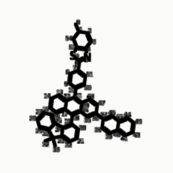 CC1C=Cc2nc(-c3ccc(-c4c5ccccc5c(-c5cccc6c5-c5ccccc5C6(C)C)c5cc(-c6ccc7ccccc7c6)ccc45)cc3)sc2C1